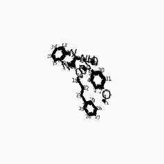 COc1ccc(S(=O)(=O)Nc2nc3ccccc3nc2OCCCc2ccccc2)cc1